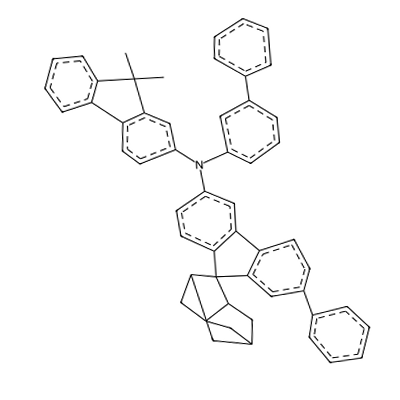 CC1(C)c2ccccc2-c2ccc(N(c3cccc(-c4ccccc4)c3)c3ccc4c(c3)-c3ccc(-c5ccccc5)cc3C43C4CC5CC(C4)C3C5)cc21